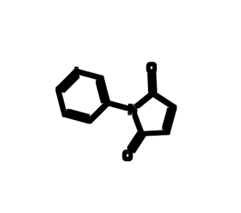 O=C1C=CC(=O)N1c1c[c]ccc1